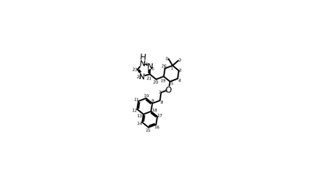 CC1(C)CCC(OCCc2cccc3ccccc23)C(Cc2nc[nH]n2)C1